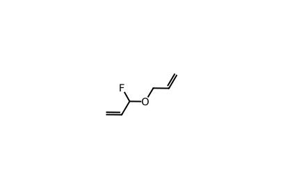 C=CCOC(F)C=C